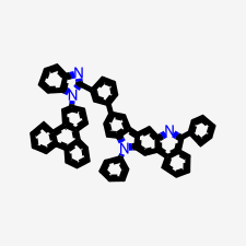 c1ccc(-c2nc3cc4c5cc(-c6cccc(-c7nc8ccccc8n7-c7ccc8c9ccccc9c9ccccc9c8c7)c6)ccc5n(-c5ccccc5)c4cc3c3ccccc23)cc1